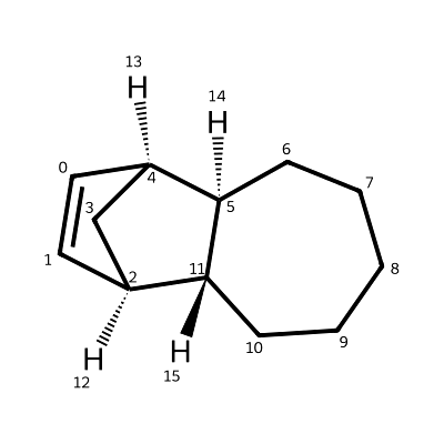 C1=C[C@H]2C[C@@H]1[C@H]1CCCCC[C@@H]12